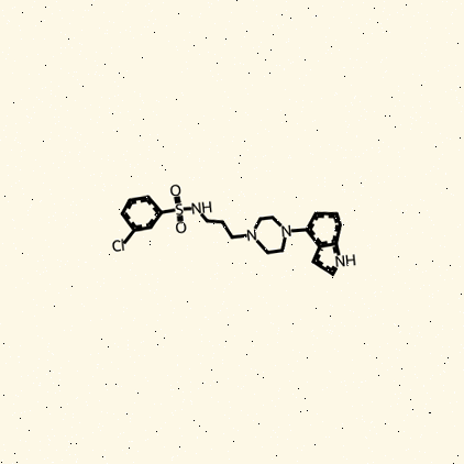 O=S(=O)(NCCCN1CCN(c2cccc3[nH]ccc23)CC1)c1cccc(Cl)c1